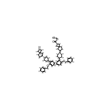 CC(C)(C)OC(=O)N1CC2(CC[C@@H](N3CCC(c4ccccc4OCc4ccccc4)CC3)C2)C1.c1ccc(COc2ccccc2C2CCN([C@@H]3CCC4(CNC4)C3)CC2)cc1